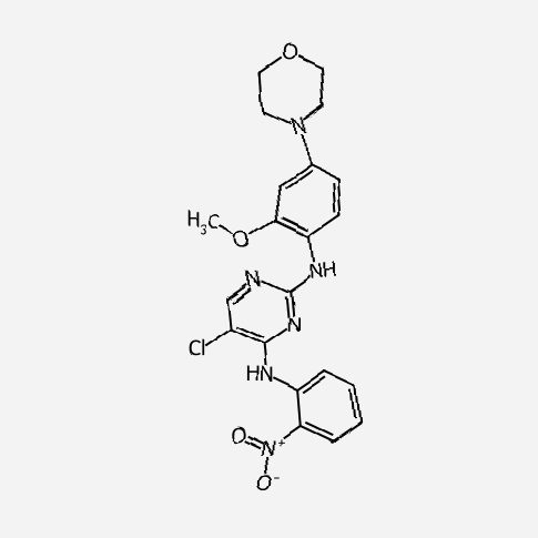 COc1cc(N2CCOCC2)ccc1Nc1ncc(Cl)c(Nc2ccccc2[N+](=O)[O-])n1